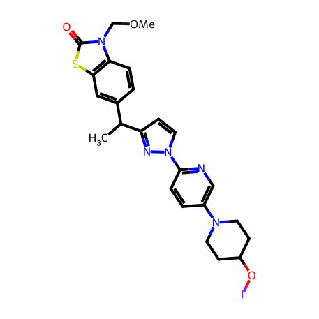 COCn1c(=O)sc2cc(C(C)c3ccn(-c4ccc(N5CCC(OI)CC5)cn4)n3)ccc21